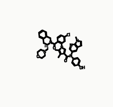 Cc1c(C(=O)N(c2ccc(O)cc2)c2cnc3c(ccn3C)c2)cn(-c2cc(Cl)ccc2C(=O)N2Cc3ccccc3C[C@H]2CN2CCOCC2)c1C